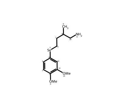 COc1ccc([Se]CCC(C)CN)cc1OC